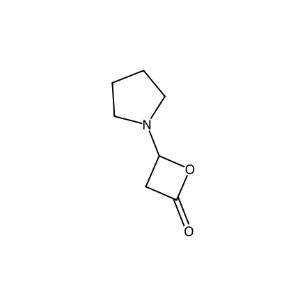 O=C1CC(N2CCCC2)O1